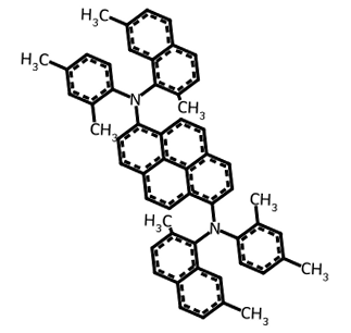 Cc1ccc(N(c2c(C)ccc3ccc(C)cc23)c2ccc3ccc4c(N(c5ccc(C)cc5C)c5c(C)ccc6ccc(C)cc56)ccc5ccc2c3c54)c(C)c1